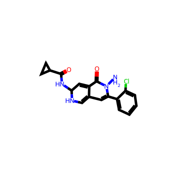 Nn1c(-c2ccccc2Cl)cc2c(c1=O)=CC(NC(=O)C1CC1)NC=2